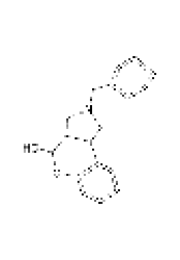 OC1Oc2ccccc2C2CN(Cc3ccccc3)CC12